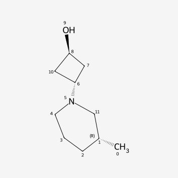 C[C@@H]1CCCN([C@H]2C[C@H](O)C2)C1